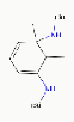 CCC(C)NC1=CC=CC(C)(NC(C)CC)C1C